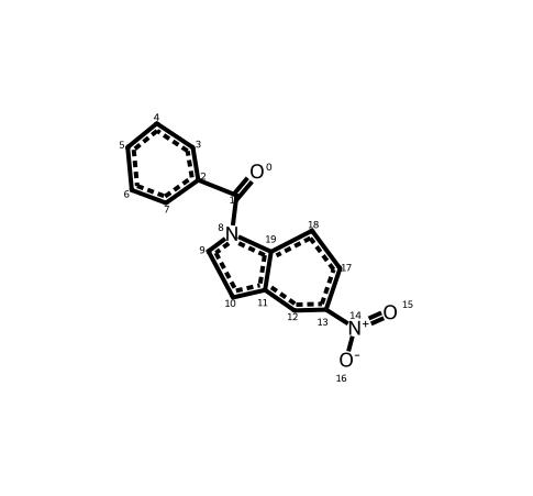 O=C(c1ccccc1)n1ccc2cc([N+](=O)[O-])ccc21